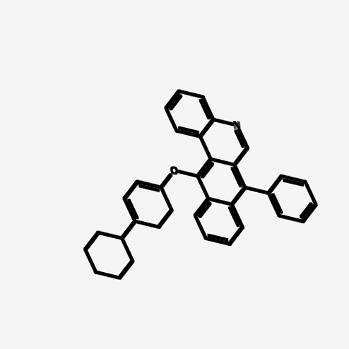 C1=C(Oc2c3ccccc3c(-c3ccccc3)c3cnc4ccccc4c23)CCC(C2CCCCC2)=C1